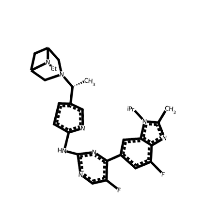 CCN1C2CC1CN([C@H](C)c1ccc(Nc3ncc(F)c(-c4cc(F)c5nc(C)n(C(C)C)c5c4)n3)nc1)C2